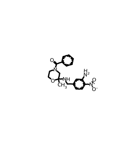 CC1(NCc2ccc([N+](=O)[O-])c(N)c2)CN(C(=O)c2ccccc2)CCO1